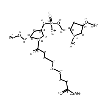 CSC(=O)CCSSCCCC(=O)N1C[C@H](OP(=O)(O)OC[C@@H]2C[C@@H](OC(C)C)CN2C(C)=O)C[C@H]1COC(C)C